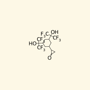 O=C1CC1C1CC(C(O)(C(F)(F)F)C(F)(F)F)CC(C(O)(C(F)(F)F)C(F)(F)F)C1